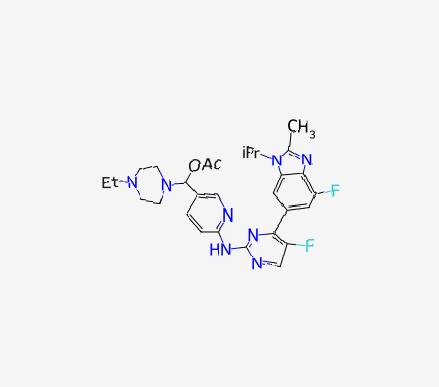 CCN1CCN(C(OC(C)=O)c2ccc(Nc3ncc(F)c(-c4cc(F)c5nc(C)n(C(C)C)c5c4)n3)nc2)CC1